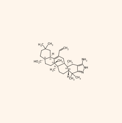 C=CC1=C2[C@@H]3CC(C)(C)CC[C@]3(C(=O)O)CC[C@@]2(C)[C@]2(C)CC[C@H]3C(C)(C)c4n[nH]c(N)c4C[C@]3(C)C2C1